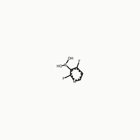 OB(O)c1c(F)ccnc1F